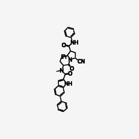 CC(C)CC(C(=O)N1CC(C(=O)Nc2ccccc2)CC1C#N)N(C)C(=O)c1cc2ccc(-c3ccccc3)cc2[nH]1